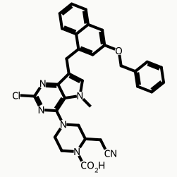 Cn1cc(Cc2cc(OCc3ccccc3)cc3ccccc23)c2nc(Cl)nc(N3CCN(C(=O)O)C(CC#N)C3)c21